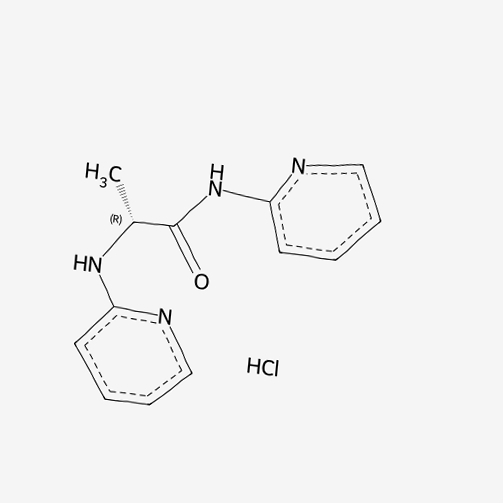 C[C@@H](Nc1ccccn1)C(=O)Nc1ccccn1.Cl